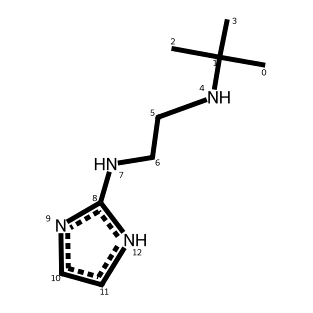 CC(C)(C)NCCNc1ncc[nH]1